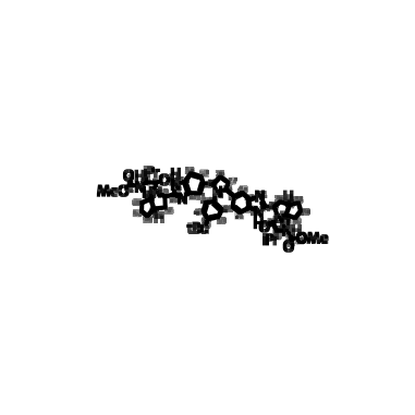 COC(=O)N[C@@H](C(C)C)C(O)N1C(c2nc3cc([C@H]4CCC(c5ccc6[nH]c([C@@H]7C[C@@H]8CCC[C@@H]8N7C(=O)[C@@H](NC(=O)OC)C(C)C)nc6c5)N4c4ccc(C(C)(C)C)cc4)ccc3[nH]2)C[C@@H]2CCC[C@@H]21